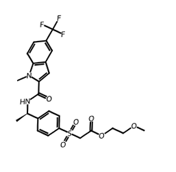 COCCOC(=O)CS(=O)(=O)c1ccc([C@@H](C)NC(=O)c2cc3cc(C(F)(F)F)ccc3n2C)cc1